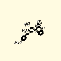 COc1ccc(CC[C@H]2CN(C3=Nc4ccccc4Nc4sc(C(F)(F)F)nc43)CCN2C)cc1.Cl.Cl